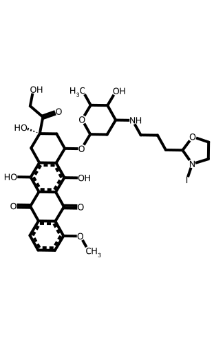 COc1cccc2c1C(=O)c1c(O)c3c(c(O)c1C2=O)C[C@@](O)(C(=O)CO)CC3OC1CC(NCCCC2OCCN2I)C(O)C(C)O1